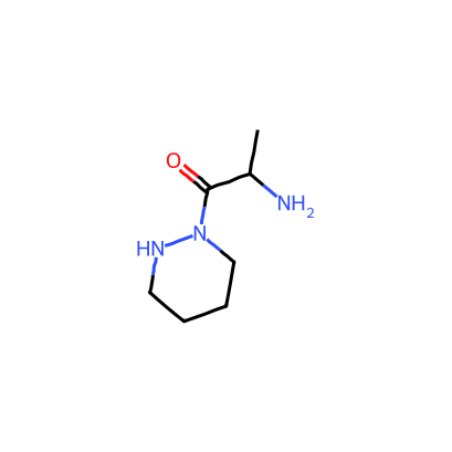 CC(N)C(=O)N1CCCCN1